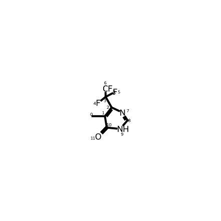 Cc1c(C(F)(F)C(F)(F)F)nc[nH]c1=O